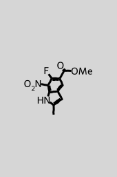 COC(=O)c1cc2cc(C)[nH]c2c([N+](=O)[O-])c1F